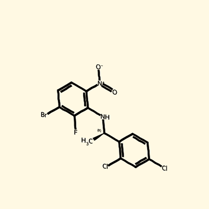 C[C@@H](Nc1c([N+](=O)[O-])ccc(Br)c1F)c1ccc(Cl)cc1Cl